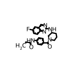 C=CC(=O)Nc1ccc(C(=O)N2CCC[C@H](Nc3ncc4cc(F)ccc4n3)C2)cc1